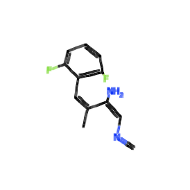 C=N/C=C(N)\C(C)=C/c1c(F)cccc1F